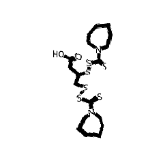 O=C(O)CC(CSSC(=S)N1CCCCCC1)SSC(=S)N1CCCCCC1